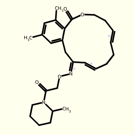 Cc1cc(C)c2c(c1)CC(=N\OCC(=O)N1CCCCC1C)/C=C/CC/C=C/CCOC2=O